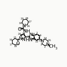 CN1CCN(c2ccc3nc(-c4nn(C5CCCCO5)cc4NC(=O)N4CCCCC4)[nH]c3c2)CC1